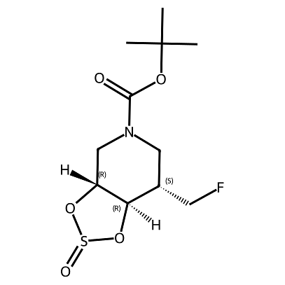 CC(C)(C)OC(=O)N1C[C@H](CF)[C@H]2OS(=O)O[C@@H]2C1